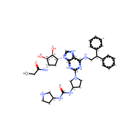 CCC(=O)N[C@H]1C[C@@H](n2cnc3c(NCC(c4ccccc4)c4ccccc4)nc(N4CCC(NC(=O)NC5CCNC5)C4)nc32)[C@H](O)[C@@H]1O